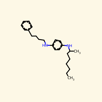 CCCCCCC(C)Nc1ccc(NCCCCc2ccccc2)cc1